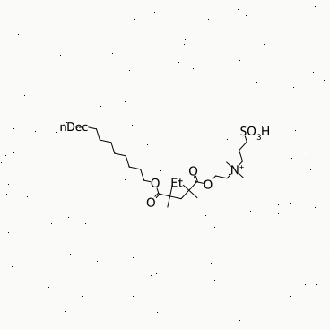 CCCCCCCCCCCCCCCCCCOC(=O)C(C)(C)CC(C)(CC)C(=O)OCC[N+](C)(C)CCCS(=O)(=O)O